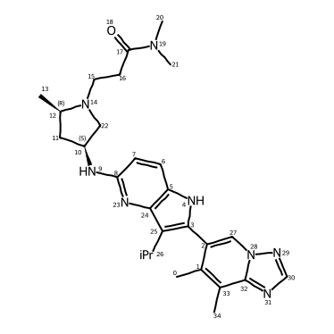 Cc1c(-c2[nH]c3ccc(N[C@H]4C[C@@H](C)N(CCC(=O)N(C)C)C4)nc3c2C(C)C)cn2ncnc2c1C